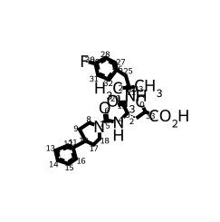 CC(C[C@H](NC(=O)N1CCC(c2ccccc2)CC1)C(=O)NC(C)(C)Cc1ccc(F)cc1)C(=O)O